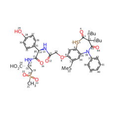 CCCCC1(CCCC)C(=O)[SH]c2cc(OCC(=O)N[C@@H](C(=O)N[C@H](CS(C)(=O)=O)C(=O)O)c3ccc(O)cc3)c(SC)cc2N(c2ccccc2)C1=O